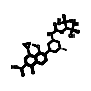 COc1c(N2C[C@@H](C)C[C@H](NC(=O)OC(P(=O)(O)O)P(=O)(O)O)C2)ccc2c(=O)c(C(=O)O)cn(C3CC3)c12